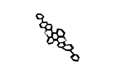 c1ccc(-c2ccc3c(ccc4c3sc3cccc5c3c4c3cccc4sc6c7ccc(-c8ccccc8)cc7ccc6c5c43)c2)cc1